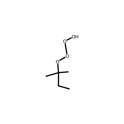 CCC(C)(C)OOOO